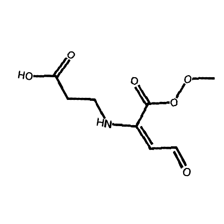 COOC(=O)/C(=C\C=O)NCCC(=O)O